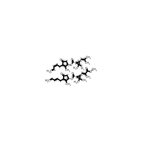 C=C/C=C/CC1=C(C)[C@@H](OC(=O)[C@@H]2[C@@H](/C=C(\C)C(=O)OC)C2(C)C)CC1=O.C=C/C=C\CC1=C(C)[C@@H](OC(=O)[C@@H]2[C@@H](C=C(C)C)C2(C)C)CC1=O